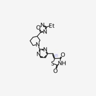 CCc1noc(C2CCCN(c3nccc(/C=C4\SC(=O)NC4=O)n3)C2)n1